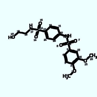 COc1ccc(S(=O)(=O)Nc2ccc(S(=O)(=O)NCCO)cc2)cc1OC